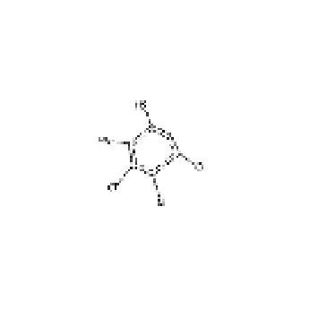 Sc1cc(Cl)c(Cl)c(Cl)c1S